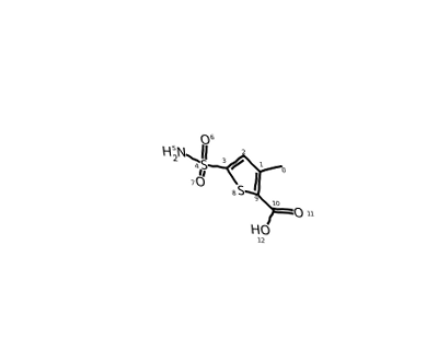 Cc1cc(S(N)(=O)=O)sc1C(=O)O